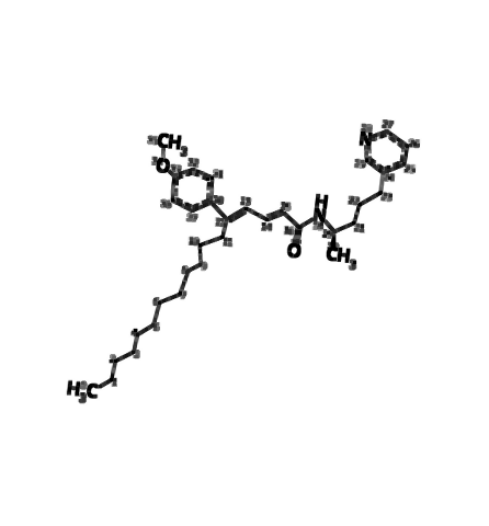 CCCCCCCCCCCC/C(=C\C=C\C(=O)N[C@H](C)CCCc1cccnc1)c1ccc(OC)cc1